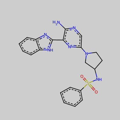 Nc1ncc(N2CCC(NS(=O)(=O)c3ccccc3)C2)nc1-c1nc2ccccc2[nH]1